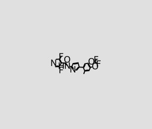 Cc1cc2c(cc1-c1ccc(NC(=O)c3c(F)cncc3F)nc1)OC(F)(F)O2